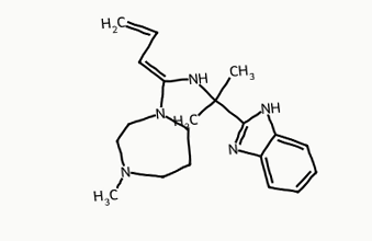 C=C/C=C(\NC(C)(C)c1nc2ccccc2[nH]1)N1CCCN(C)CC1